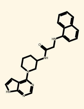 O=C(CNc1cccc2ccccc12)NC1CCCN(c2ncnc3[nH]ccc23)C1